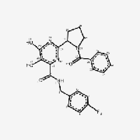 O=C(NCc1ccc(F)cc1)c1nc(C2CCCN2C(=O)c2ccccc2)nc(O)c1O